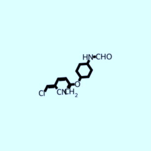 C=C(/C=C\C(C#N)=C\Cl)OC1CCC(NC=O)CC1